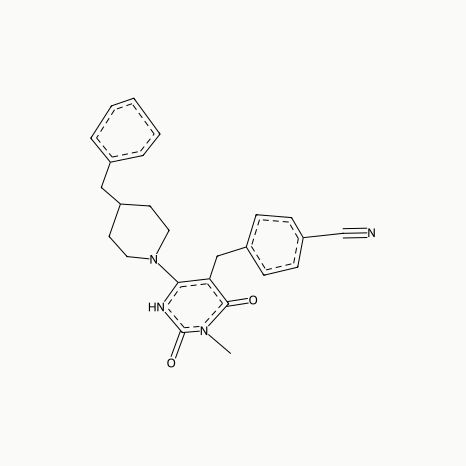 Cn1c(=O)[nH]c(N2CCC(Cc3ccccc3)CC2)c(Cc2ccc(C#N)cc2)c1=O